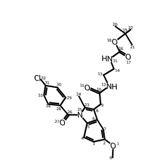 COc1ccc2c(c1)c(CC(=O)NCCNC(=O)OC(C)(C)C)c(C)n2C(=O)c1ccc(Cl)cc1